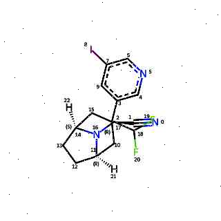 N#C[C@@]1(c2cncc(I)c2)C[C@H]2CC[C@@H](C1)N2CC(F)F